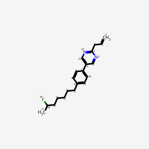 C=CCc1ncc(-c2ccc(CCCCCC(C)F)cc2)cn1